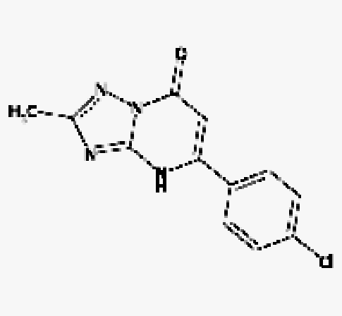 Cc1nc2[nH]c(-c3ccc(Cl)cc3)cc(=O)n2n1